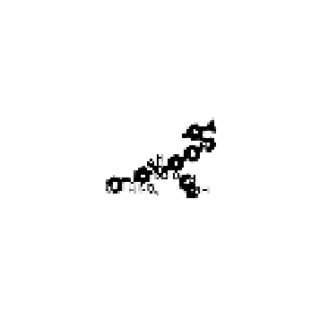 Cc1ccc(C2CC2)c(C2CCCN2C2CC=C(c3ccc(C(=O)NS(=O)(=O)c4ccc(NCC5CCOCC5)c([N+](=O)[O-])c4)c(Oc4cnc5[nH]ccc5c4)c3)CC2)c1